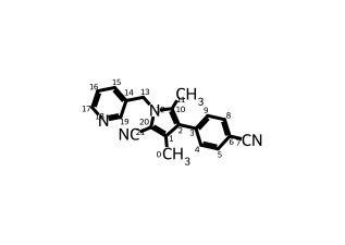 Cc1c(-c2ccc(C#N)cc2)c(C)n(Cc2cccnc2)c1C#N